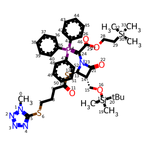 Cn1nnnc1SCCCC(=O)S[C@@H]1[C@@H](CO[Si](C)(C)C(C)(C)C)C(=O)N1C(C(=O)OCC[Si](C)(C)C)=P(c1ccccc1)(c1ccccc1)c1ccccc1